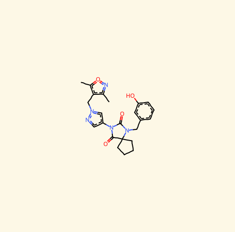 Cc1noc(C)c1Cn1cc(N2C(=O)N(Cc3cccc(O)c3)C3(CCCC3)C2=O)cn1